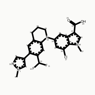 Cn1cc(-c2cc3c(cc2C(F)F)N(c2cc(Cl)c4c(c2)c(C(=O)O)cn4C)CCC3)cn1